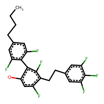 CCCCc1cc(F)c(-c2c([O])cc(F)c(CCc3cc(F)c(F)c(F)c3)c2F)c(F)c1